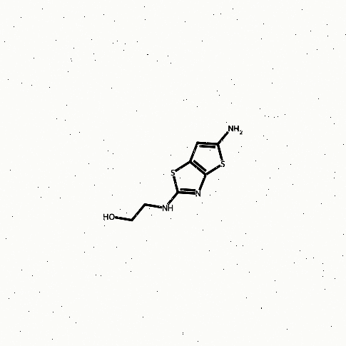 Nc1cc2sc(NCCO)nc2s1